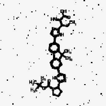 CCC(C(=N)C(=O)O)c1ncc(-c2ccc3c(c2)C(C)(C)c2cc(-c4cnc(C5CCCN5C(=O)OC(C)(C)C)[nH]4)ccc2-3)[nH]1